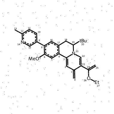 C=C1C=C2c3cc(OC)c(-c4ccc(C)nc4)cc3CC(C(C)(C)C)N2C=C1C(=C)OCC